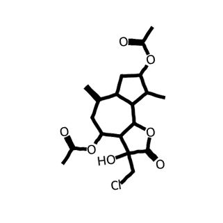 C=C1CC(OC(C)=O)C2C(OC(=O)C2(O)CCl)C2C1CC(OC(C)=O)C2C